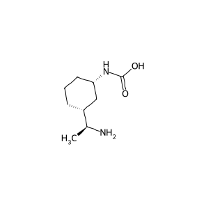 C[C@H](N)[C@@H]1CCC[C@H](NC(=O)O)C1